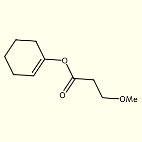 COCCC(=O)OC1=CCCCC1